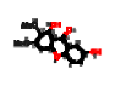 COc1cc2oc3ccc(O)cc3c(=O)c2c(O)c1OC